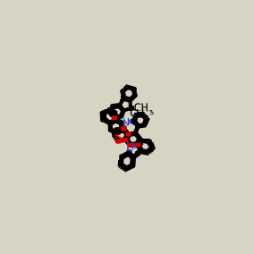 CC1(C)c2ccccc2-c2cccc(N(c3cccc(-n4c5ccccc5c5ccccc54)c3)c3ccccc3-c3cccc4oc5cc6ccccc6cc5c34)c21